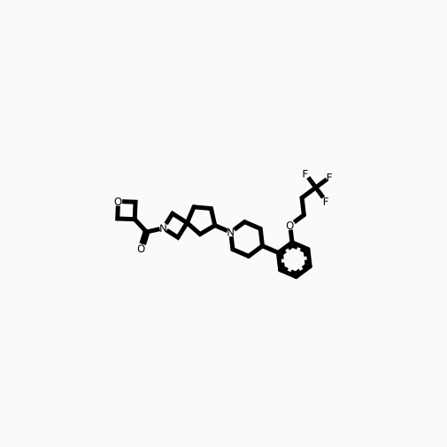 O=C(C1COC1)N1CC2(CCC(N3CCC(c4ccccc4OCCC(F)(F)F)CC3)C2)C1